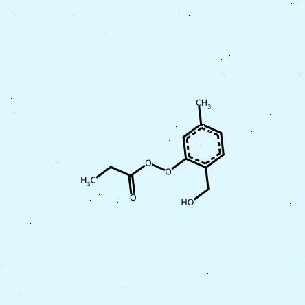 CCC(=O)OOc1cc(C)ccc1CO